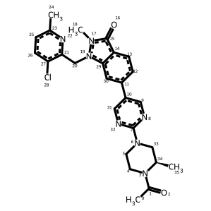 CC(=O)N1CCN(c2ncc(-c3ccc4c(=O)n(C)n(Cc5nc(C)ccc5Cl)c4c3)cn2)C[C@H]1C